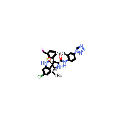 COc1cc(-n2cnnn2)ccc1NC(=O)[C@@H]1N[C@@H](CC(C)(C)C)[C@@]2(C(=O)Nc3cc(Cl)ccc32)[C@H]1c1cccc(CI)c1F